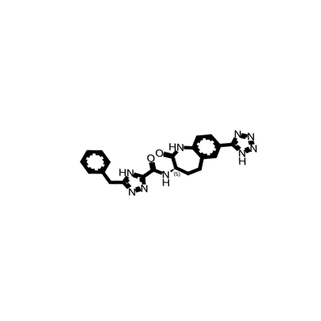 O=C(N[C@H]1CCc2cc(-c3nnn[nH]3)ccc2NC1=O)c1nnc(Cc2ccccc2)[nH]1